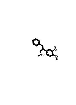 CNCC(Cc1ccccc1)c1ccc(OC)c(OC)c1